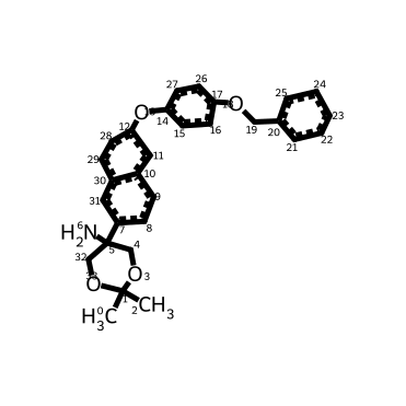 CC1(C)OCC(N)(c2ccc3cc(Oc4ccc(OCc5ccccc5)cc4)ccc3c2)CO1